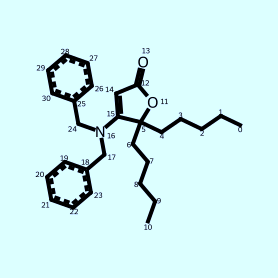 CCCCCC1(CCCCC)OC(=O)C=C1N(Cc1ccccc1)Cc1ccccc1